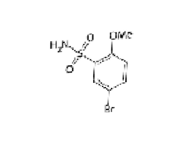 COc1ccc(Br)cc1S(N)(=O)=O